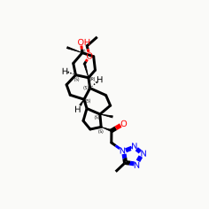 CCOC[C@]12CC[C@@](C)(O)C[C@@H]1CC[C@H]1C3CC[C@H](C(=O)Cn4nnnc4C)[C@@]3(C)CC[C@@H]12